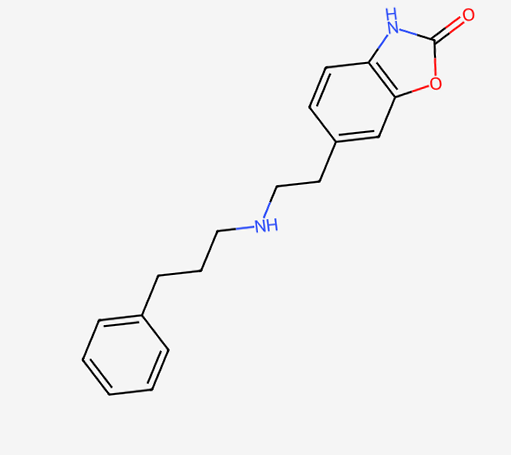 O=c1[nH]c2ccc(CCNCCCc3ccccc3)cc2o1